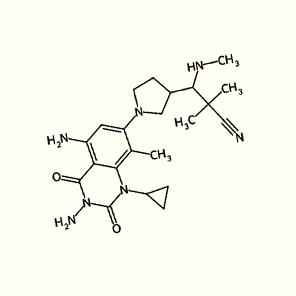 CNC(C1CCN(c2cc(N)c3c(=O)n(N)c(=O)n(C4CC4)c3c2C)C1)C(C)(C)C#N